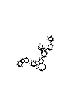 C=C1/C=C\C=C/Cc2cc(-c3ccc4c(c3)c3ccccc3n4-c3cccc(-c4ccccc4)c3)ccc2N1c1ccc(-c2ccc3oc4ccccc4c3c2)cc1